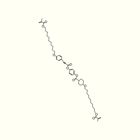 C=C(C)C(=O)OCCCCCCCCCCCOc1ccc(C#CC(=O)Oc2ccc(OC(=O)C3CCC(OCCCCCCCCCCCOC(=O)C(=C)C)CC3)cc2)cc1